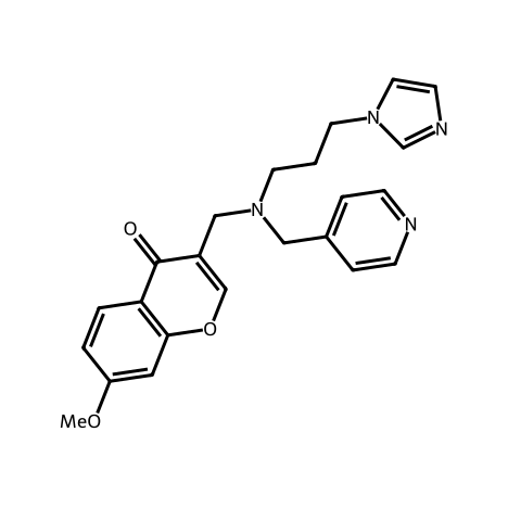 COc1ccc2c(=O)c(CN(CCCn3ccnc3)Cc3ccncc3)coc2c1